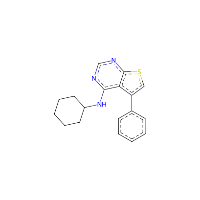 c1ccc(-c2csc3ncnc(NC4CCCCC4)c23)cc1